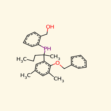 CCCC(C)(Pc1ccccc1CO)c1cc(C)cc(C)c1OCc1ccccc1